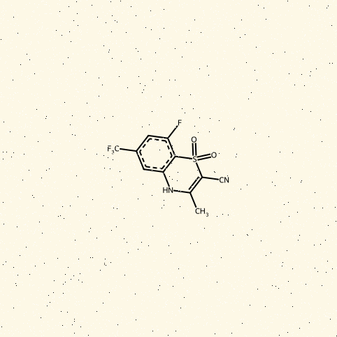 CC1=C(C#N)S(=O)(=O)c2c(F)cc(C(F)(F)F)cc2N1